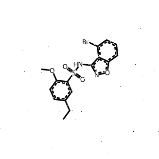 CCc1ccc(OC)c(S(=O)(=O)Nc2noc3cccc(Br)c23)c1